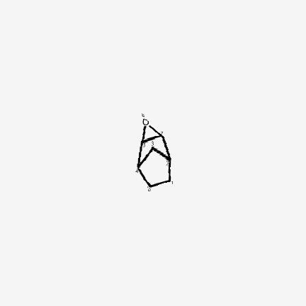 [CH]1CC2CC1C1OC21